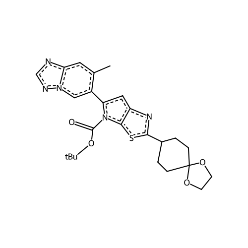 Cc1cc2ncnn2cc1-c1cc2nc(C3CCC4(CC3)OCCO4)sc2n1C(=O)OC(C)(C)C